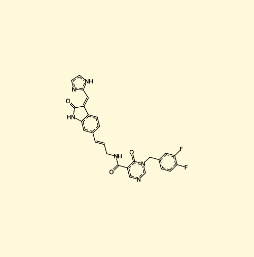 O=C1Nc2cc(/C=C/CNC(=O)c3cncn(Cc4ccc(F)c(F)c4)c3=O)ccc2C1=Cc1ncc[nH]1